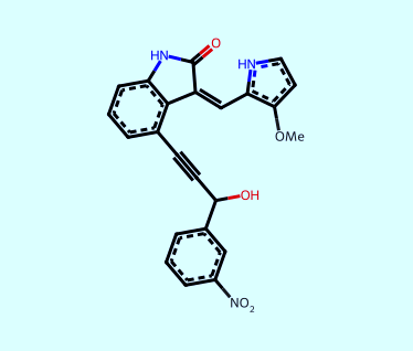 COc1cc[nH]c1C=C1C(=O)Nc2cccc(C#CC(O)c3cccc([N+](=O)[O-])c3)c21